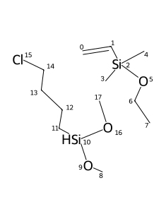 C=C[Si](C)(C)OCC.CO[SiH](CCCCCl)OC